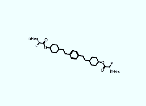 CCCCCC[C@@H](F)C(=O)OC1CCC(CCc2ccc(CCC3CCC(OC(=O)[C@H](F)CCCCCC)CC3)cc2)CC1